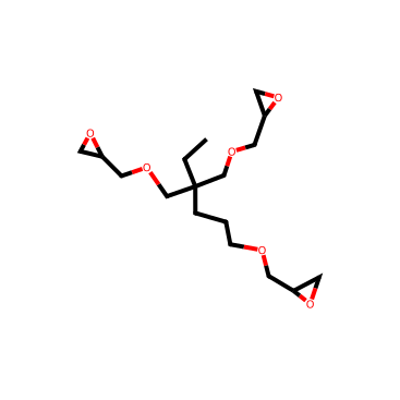 CCC(CCCOCC1CO1)(COCC1CO1)COCC1CO1